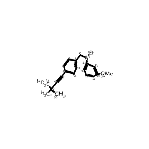 CCN(Cc1ccc(C#CC(C)(C)C(=O)O)cc1)c1cccc(OC)c1